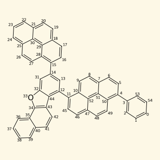 c1ccc(-c2ccc3ccc4c(-c5cc(-c6ccc7ccc8cccc9ccc6c7c89)cc6oc7c8ccccc8ccc7c56)ccc5ccc2c3c54)cc1